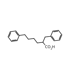 O=C(O)C(CCCCc1ccccc1)Cc1ccccc1